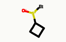 CC[S+]([O-])C1CCC1